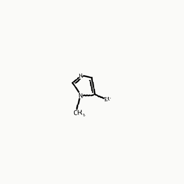 C[CH]c1cncn1C